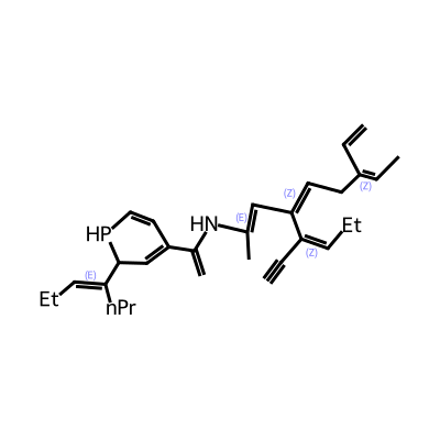 C#CC(=C/CC)/C(=C\C/C(C=C)=C/C)/C=C(\C)NC(=C)C1=CC(/C(=C/CC)CCC)PC=C1